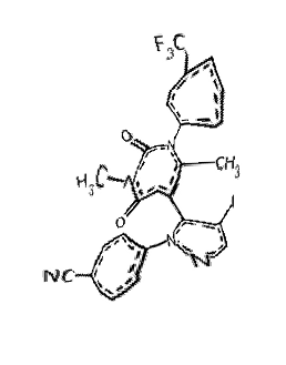 Cc1c(-c2c(I)cnn2-c2ccc(C#N)cc2)c(=O)n(C)c(=O)n1-c1cccc(C(F)(F)F)c1